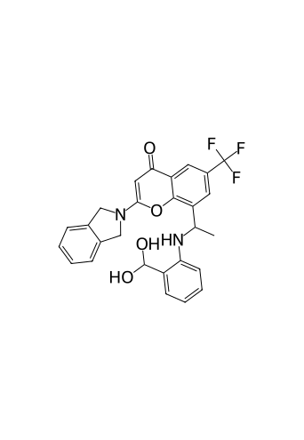 CC(Nc1ccccc1C(O)O)c1cc(C(F)(F)F)cc2c(=O)cc(N3Cc4ccccc4C3)oc12